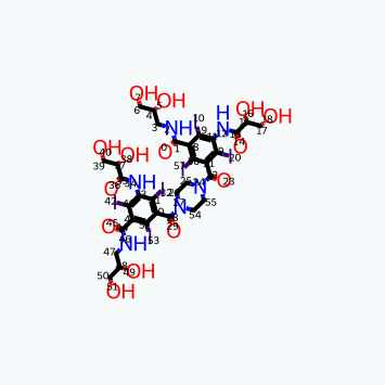 O=C(NCC(O)CO)c1c(I)c(NC(=O)C(O)CO)c(I)c(C(=O)N2CCN(C(=O)c3c(I)c(NC(=O)C(O)CO)c(I)c(C(=O)NCC(O)CO)c3I)CC2)c1I